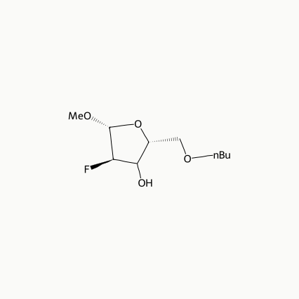 CCCCOC[C@H]1O[C@@H](OC)[C@H](F)C1O